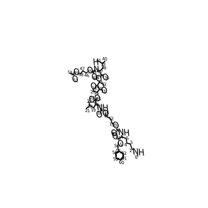 CNCCCCC(NC(=O)OCCCOC(=O)NC(CC(C)C)C(=O)O[C@@H]1COC2C1OC[C@@H]2OC(=O)C(CC(C)C)NC(=O)OCCCOC(C)=O)C(=O)OCc1ccccc1